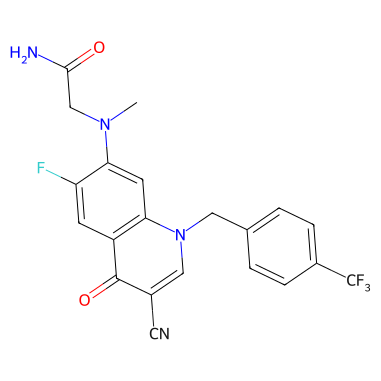 CN(CC(N)=O)c1cc2c(cc1F)c(=O)c(C#N)cn2Cc1ccc(C(F)(F)F)cc1